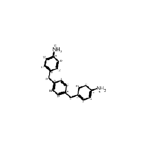 NC1=CC=C(Cc2ccc(Cc3ccc(N)cc3)cc2)CC1